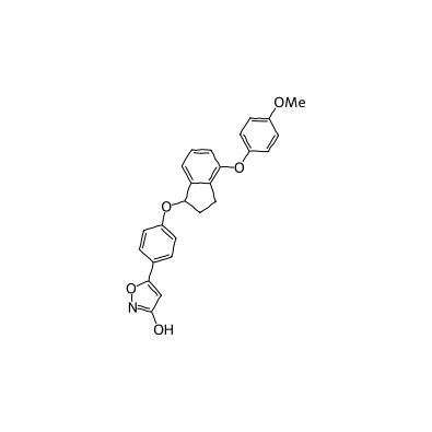 COc1ccc(Oc2cccc3c2CCC3Oc2ccc(-c3cc(O)no3)cc2)cc1